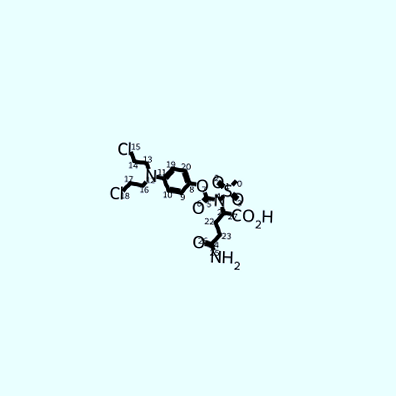 CS(=O)(=O)N(C(=O)Oc1ccc(N(CCCl)CCCl)cc1)C(CCC(N)=O)C(=O)O